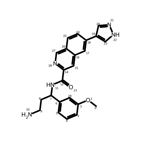 COc1cccc(C(CCN)NC(=O)c2cc3cc(-c4cn[nH]c4)ccc3cn2)c1